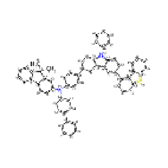 CC1(C)c2ccccc2-c2ccc(N(c3ccc(-c4ccccc4)cc3)c3ccc(-c4ccc5c(c4)c4cc(-c6cccc7sc8ccccc8c67)ccc4n5-c4ccccc4)cc3)cc21